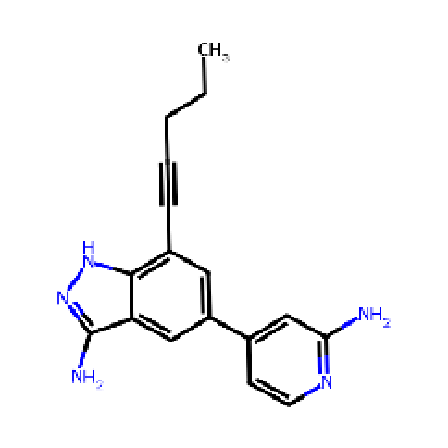 CCCC#Cc1cc(-c2ccnc(N)c2)cc2c(N)n[nH]c12